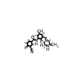 Cc1cc(CN2CCN[C@@H](C)C2)c(C)c(NC(=O)c2ccc(F)c(C#N)c2)c1